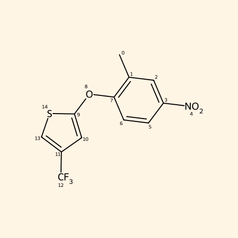 Cc1cc([N+](=O)[O-])ccc1Oc1cc(C(F)(F)F)cs1